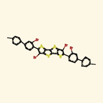 Cc1ccc(-c2ccc(-c3sc4c(sc5c6sc(-c7ccc(-c8ccc(C)cc8)cc7Br)c(Br)c6sc45)c3Br)c(Br)c2)cc1